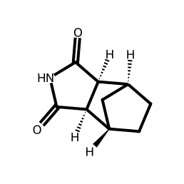 O=C1NC(=O)[C@H]2[C@H]3CC[C@@H](C3)[C@@H]12